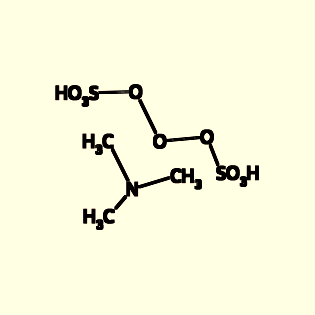 CN(C)C.O=S(=O)(O)OOOS(=O)(=O)O